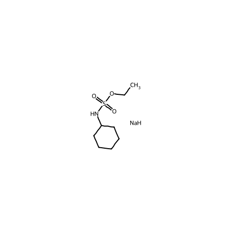 CCOS(=O)(=O)NC1CCCCC1.[NaH]